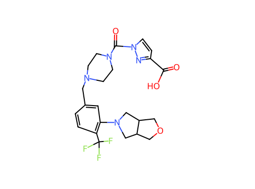 O=C(O)c1ccn(C(=O)N2CCN(Cc3ccc(C(F)(F)F)c(N4CC5COCC5C4)c3)CC2)n1